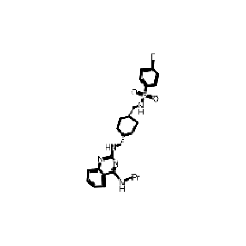 CC(C)Nc1nc(NC[C@H]2CC[C@H](CNS(=O)(=O)c3ccc(F)cc3)CC2)nc2ccccc12